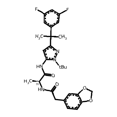 C[C@H](NC(=O)Cc1ccc2c(c1)OCO2)C(=O)Nc1cc(C(C)(C)c2cc(F)cc(F)c2)nn1C(C)(C)C